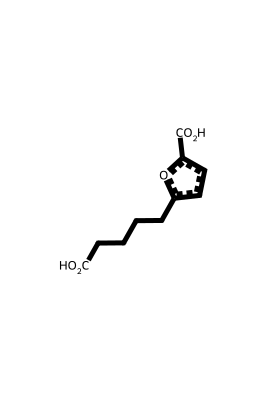 O=C(O)CCCCc1ccc(C(=O)O)o1